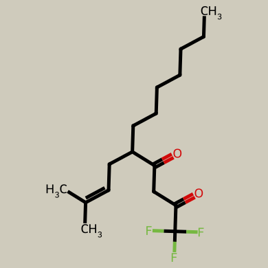 CCCCCCCC(CC=C(C)C)C(=O)CC(=O)C(F)(F)F